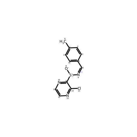 Cc1ccc(/C=N\[S+]([O-])c2nccnc2Cl)cc1